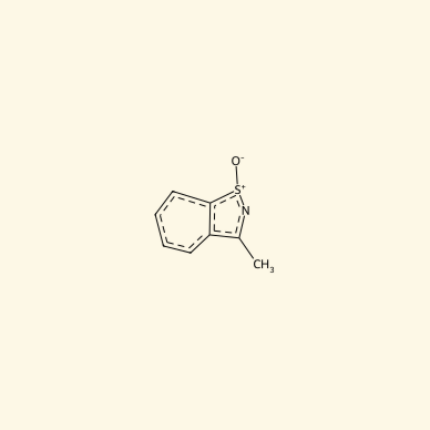 Cc1n[s+]([O-])c2ccccc12